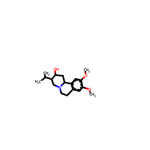 COc1cc2c(cc1OC)C1CC(O)C(C(C)C)CN1CC2